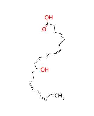 CC/C=C\C/C=C\CCC(O)\C=C/C=C/C=C\C/C=C\CCC(=O)O